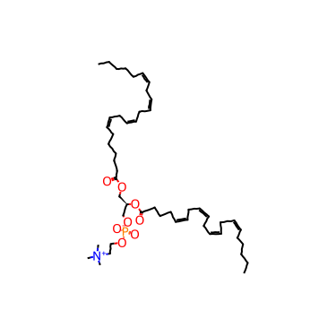 CCCCC/C=C\C/C=C\C/C=C\C/C=C\CCCCCC(=O)OC[C@H](COP(=O)([O-])OCC[N+](C)(C)C)OC(=O)CCC/C=C\C/C=C\C/C=C\C/C=C\CCCCC